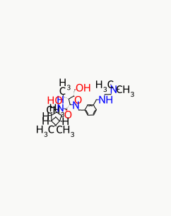 C[C@@H]1[C@@H](NC(=O)[C@@H]2[C@H]([C@H](C)O)[C@H](CO)ON2Cc2cccc(CNCCN(C)C)c2)C[C@H]2C[C@@H]1C2(C)C